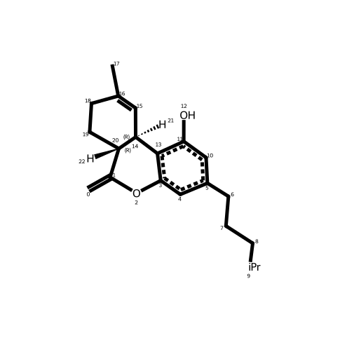 C=C1Oc2cc(CCCC(C)C)cc(O)c2[C@@H]2C=C(C)CC[C@@H]12